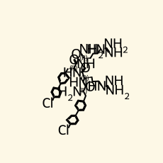 N=C(N)NCCC[C@@H](NC(=O)[C@@H](Cc1ccc(-c2ccc(Cl)cc2)cc1)NC(=O)[C@@H](CCCNC(=N)N)NC(=O)[C@H](N)Cc1ccc(-c2ccc(Cl)cc2)cc1)C(N)=O